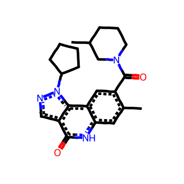 Cc1cc2[nH]c(=O)c3cnn(C4CCCC4)c3c2cc1C(=O)N1CCCC(C)C1